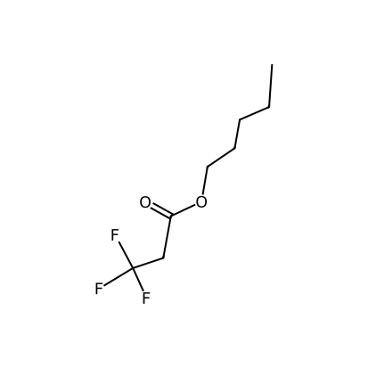 CCCCCOC(=O)CC(F)(F)F